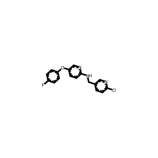 Fc1ccc(Oc2ccc(NCc3ccc(Cl)nc3)nc2)cc1